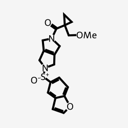 COCC1(C(=O)N2CC3=C(C2)CN([S+]([O-])c2ccc4occc4c2)C3)CC1